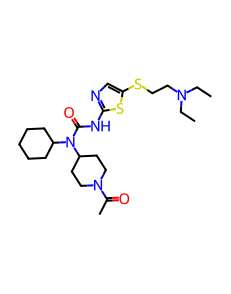 CCN(CC)CCSc1cnc(NC(=O)N(C2CCCCC2)C2CCN(C(C)=O)CC2)s1